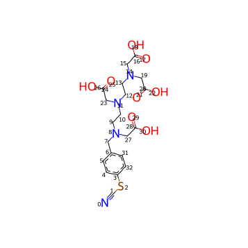 N#CSc1ccc(CN(CCN(CCN(CC(=O)O)CC(=O)O)CC(=O)O)CC(=O)O)cc1